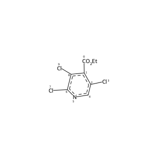 CCOC(=O)c1c(Cl)cnc(Cl)c1Cl